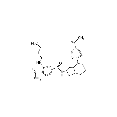 CCCCNc1cc(C(=O)NC2CC3CCCN(c4ccc(C(C)=O)cn4)C3C2)ccc1C(N)=O